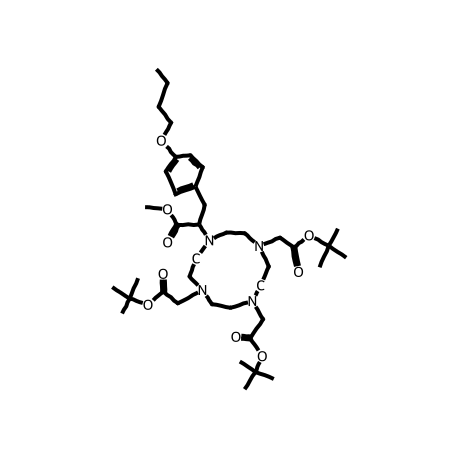 CCCCOc1ccc(CC(C(=O)OC)N2CCN(CC(=O)OC(C)(C)C)CCN(CC(=O)OC(C)(C)C)CCN(CC(=O)OC(C)(C)C)CC2)cc1